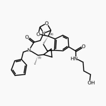 C[C@@H](C1CC1)N(Cc1ccccc1)C(=O)CN1C2OC1[C@]1(CCc3cc(C(=O)NCCCO)ccc31)O2